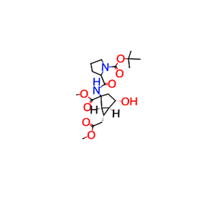 COC(=O)C[C@H]1[C@H]2[C@@H]1[C@](NC(=O)C1CCCN1C(=O)OC(C)(C)C)(C(=O)OC)C[C@@H]2O